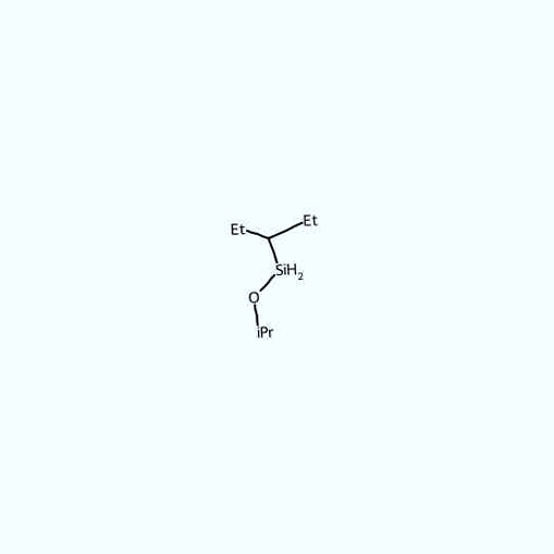 CCC(CC)[SiH2]OC(C)C